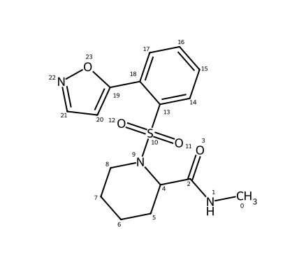 CNC(=O)C1CCCCN1S(=O)(=O)c1ccccc1-c1ccno1